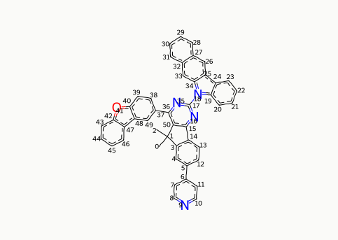 CC1(C)c2cc(-c3ccncc3)ccc2-c2nc(-n3c4ccccc4c4cc5ccccc5cc43)nc(-c3ccc4oc5ccccc5c4c3)c21